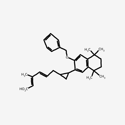 CC(C=CCC1CC1c1cc2c(cc1OCc1ccccc1)C(C)(C)CCC2(C)C)=CC(=O)O